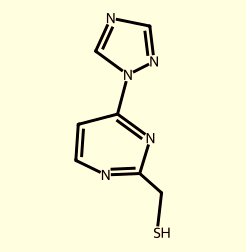 SCc1nccc(-n2cncn2)n1